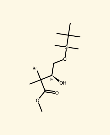 COC(=O)C(C)(Br)[C@H](O)CO[Si](C)(C)C(C)(C)C